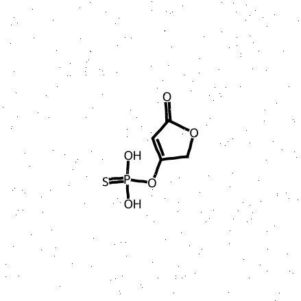 O=C1C=C(OP(O)(O)=S)CO1